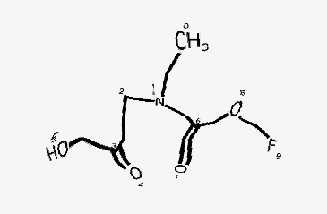 CN(CC(=O)O)C(=O)OF